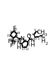 C=C/C=C(\C=C/C)NC(=O)c1cccc2[nH]c(-c3cc(F)ccc3C(F)(F)F)nc12